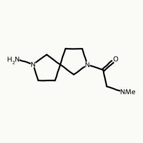 CNCC(=O)N1CCC2(CCN(N)C2)C1